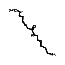 NCCSSCCNC(=O)CCCCCNC=O